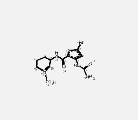 NC(=O)Nc1cc(Br)sc1C(=O)NC1CCCN(C(=O)O)C1